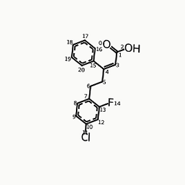 O=C(O)C=C(CCc1ccc(Cl)cc1F)c1ccccc1